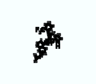 O=C(CNc1cccc2c1CCN(CC1CC1)C2)N(Cc1ccccc1C(F)(F)F)C[C@@H]1CCNC1